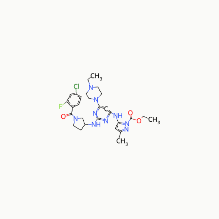 CCOC(=O)n1nc(C)cc1Nc1cc(N2CCN(CC)CC2)nc(NC2CCN(C(=O)c3ccc(Cl)cc3F)C2)n1